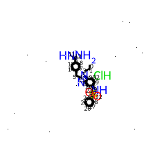 CCCn1c(Cc2ccc(C(=N)N)cc2)nc2cc(NS(=O)(=O)c3ccccc3)ccc21.Cl